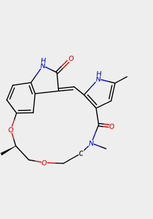 Cc1cc2c([nH]1)/C=C1\C(=O)Nc3ccc(cc31)O[C@H](C)COCCN(C)C2=O